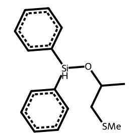 CSCC(C)O[SiH](c1ccccc1)c1ccccc1